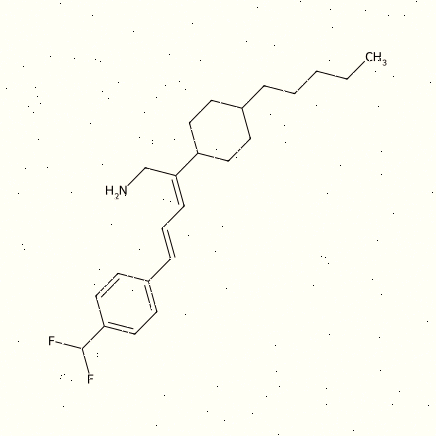 CCCCCC1CCC(/C(=C/C=C/c2ccc(C(F)F)cc2)CN)CC1